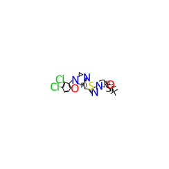 CC(C)(C)[Si](C)(C)O[C@H]1CCN(c2ncc(C[C@H](C#N)C(=O)N(Cc3cccc(Cl)c3Cl)C3CC3)s2)C1